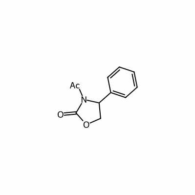 CC(=O)N1C(=O)OCC1c1ccccc1